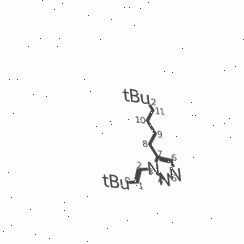 CC(C)(C)/C=C/n1nncc1CCCCC(C)(C)C